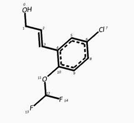 OCC=Cc1cc(Cl)ccc1OC(F)F